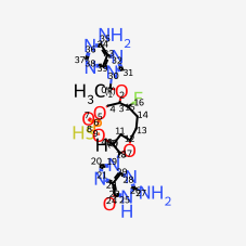 C[C@@H](OC1COP(=O)(S)O[C@H]2CC(CCC1F)OC2n1cnc2c(=O)[nH]c(N)nc21)n1cnc2c(N)ncnc21